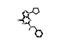 CN(Cc1ccccc1)c1nc2c(cnn2C2CCCC2)c(=O)[nH]1